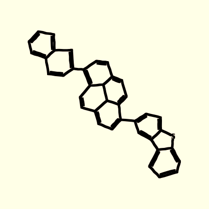 C1=CC2=C(c3ccc4ccccc4c3)C=CC3=CC=C4C(c5ccc6sc7ccccc7c6c5)=CC=C1C4C32